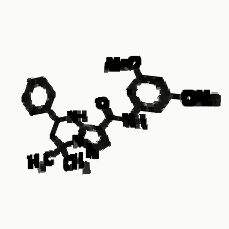 COc1cc(NC(=O)c2cnn3c2NC(c2ccccc2)CC3(C)C)cc(OC)c1